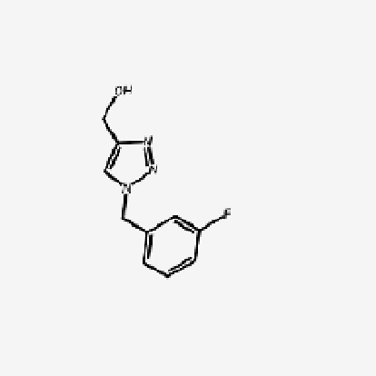 OCc1cn(Cc2cccc(F)c2)nn1